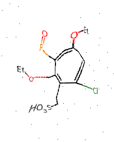 CCOc1cc(Cl)c(CS(=O)(=O)O)c(OCC)c1P=O